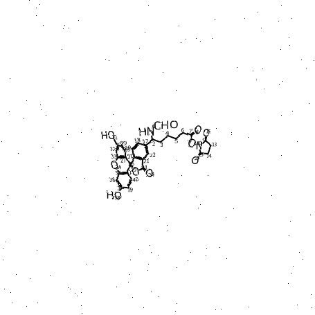 O=CNC(CCCCC(=O)ON1C(=O)CCC1=O)c1ccc2c(c1)C(=O)OC21c2ccc(O)cc2Oc2cc(O)ccc21